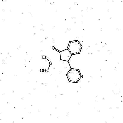 CCOC=O.O=C1CC(c2cccnc2)c2ccccc21